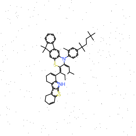 CC/C(C1=CCCc2c1[nH]c1sc3c(c21)CCC=C3)=C1/Sc2cc3c(cc2N(c2ccc(C(C)(C)CCC(C)(C)C)cc2C)/C1=C/C(C)C)-c1ccccc1C3(C)C